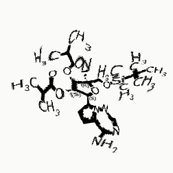 CC(C)C(=O)O[C@H]1[C@H](c2ccc3c(N)ncnn23)O[C@](C#N)(CO[Si](C)(C)C(C)(C)C)[C@H]1OC(=O)C(C)C